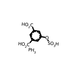 O=C(O)c1cc(OS(=O)(=O)O)cc(C(=O)O)c1.P